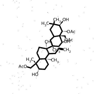 C=CCC1[C@@]2(C)CC[C@H](O)[C@](C)(COC(C)=O)C2CC[C@@]1(C)[C@@]1(C)CC2CC(C)(C)[C@@H](O)[C@H](OC(C)=O)[C@]2(COC(C)=O)[C@H](O)C1